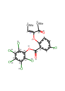 CO/C=C(/Oc1ccc(Cl)cc1C(=O)Oc1c(Cl)c(Cl)c(Cl)c(Cl)c1Cl)C(=O)OC